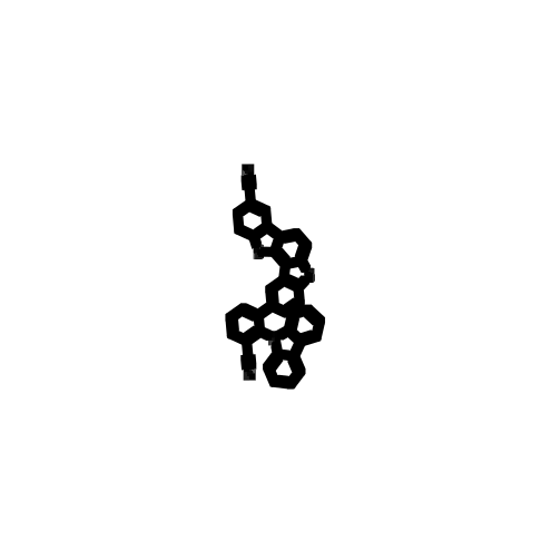 N#CC1=CC2c3ccc4sc5ccc(-c6cccc(C#N)c6-n6c7ccccc7c7ccccc76)cc5c4c3SC2CC1